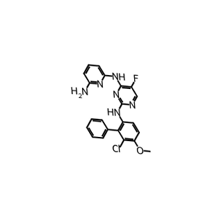 COc1ccc(Nc2ncc(F)c(Nc3cccc(N)n3)n2)c(-c2ccccc2)c1Cl